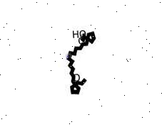 CCC(=O)C1(CCCCCC/C=C\CCCCCC2(C(=O)O)CC=CC2)CC=CC1